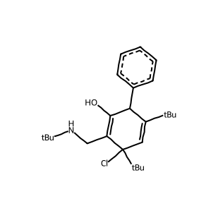 CC(C)(C)NCC1=C(O)C(c2ccccc2)C(C(C)(C)C)=CC1(Cl)C(C)(C)C